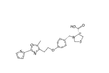 Cc1oc(-c2cccs2)nc1CCOc1ccc(CN2CSC[C@H]2C(=O)O)cc1